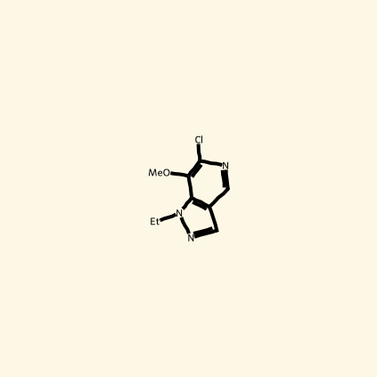 CCn1ncc2cnc(Cl)c(OC)c21